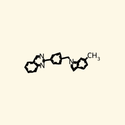 Cc1ccc2ccn(Cc3ccc(-c4ncc5ccccc5n4)cc3)c2c1